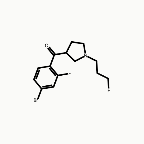 O=C(c1ccc(Br)cc1F)C1CCN(CCCF)C1